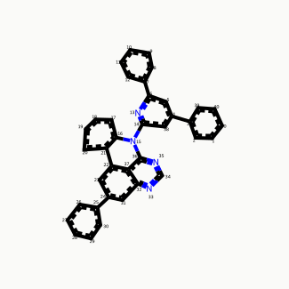 c1ccc(-c2cc(-c3ccccc3)nc(N3c4ccccc4-c4cc(-c5ccccc5)cc5ncnc3c45)c2)cc1